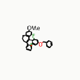 COc1ccc2c(c1)CCCC(c1ccccc1)=C2c1c(F)cc(OCc2ccccc2)cc1F